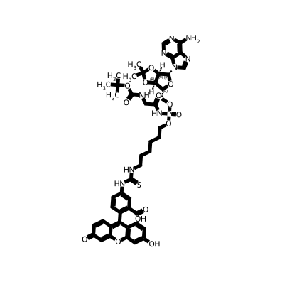 CC(C)(C)OC(=O)NCC(=O)NP(=O)(OCCCCCCNC(=S)Nc1ccc(-c2c3ccc(=O)cc-3oc3cc(O)ccc23)c(C(=O)O)c1)OC[C@H]1O[C@@H](n2cnc3c(N)ncnc32)[C@@H]2OC(C)(C)O[C@@H]21